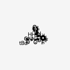 CC(C)(C)OC(=O)NCNC(=O)COc1c(-c2csc(N3CCOCC3)n2)ccc(F)c1F